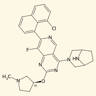 CN1CC[C@H](Oc2nc(N3CC4CCC(C3)N4)c3cnc(-c4cccc5cccc(Cl)c45)c(F)c3n2)C1